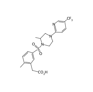 Cc1ccc(S(=O)(=O)N2CCN(c3ccc(C(F)(F)F)cn3)CC2C)cc1CC(=O)O